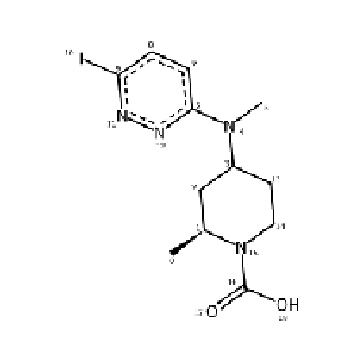 C[C@H]1CC(N(C)c2ccc(I)nn2)CCN1C(=O)O